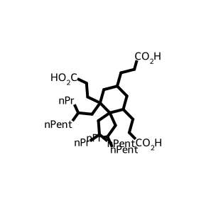 CCCCCC(CCC)CC1(CCC(=O)O)CC(CCC(=O)O)CC(CCC(=O)O)C1(CC(CCC)CCCCC)CC(CCC)CCCCC